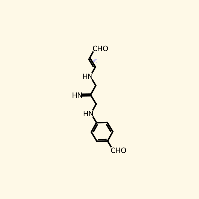 N=C(CN/C=C/C=O)CNc1ccc(C=O)cc1